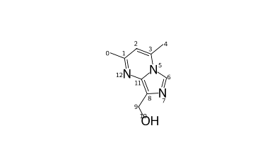 Cc1cc(C)n2cnc(CO)c2n1